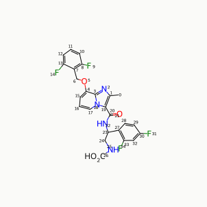 Cc1nc2c(OCc3c(F)cccc3F)cccn2c1C(=O)NC(CNC(=O)O)c1ccc(F)cc1F